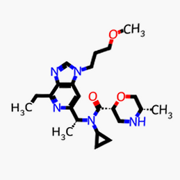 CCc1nc([C@@H](C)N(C(=O)[C@H]2CN[C@@H](C)CO2)C2CC2)cc2c1ncn2CCCOC